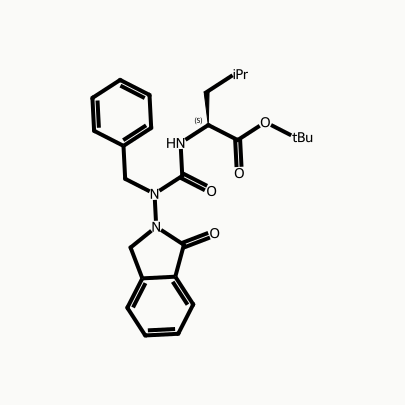 CC(C)C[C@H](NC(=O)N(Cc1ccccc1)N1Cc2ccccc2C1=O)C(=O)OC(C)(C)C